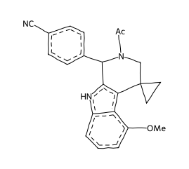 COc1cccc2[nH]c3c(c12)C1(CC1)CN(C(C)=O)C3c1ccc(C#N)cc1